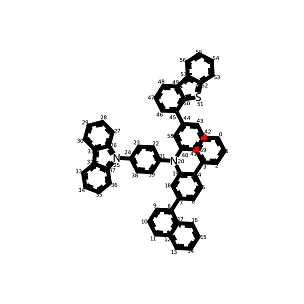 c1ccc(-c2ccc(-c3cccc4ccccc34)cc2N(c2ccc(-n3c4ccccc4c4ccccc43)cc2)c2cccc(-c3cccc4c3sc3ccccc34)c2)cc1